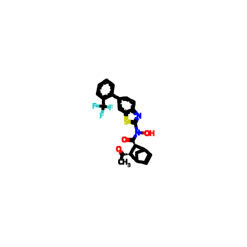 CC(=O)[C@H]1C2C=CC(C2)[C@H]1C(=O)N(O)c1nc2ccc(-c3ccccc3C(F)(F)F)cc2s1